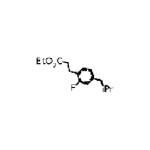 CCOC(=O)CCc1ccc(CC(C)C)cc1F